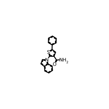 NC(=O)c1cc(-c2ccccc2)sc1-n1ccc2ccccc21